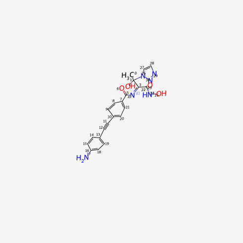 CC(O)(/C(=N\C(=O)c1ccc(C#Cc2ccc(N)cc2)cc1)C(=O)NO)n1ccnn1